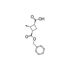 C[C@H]1[C@@H](C(=O)O)C[C@H]1C(=O)OCc1ccccc1